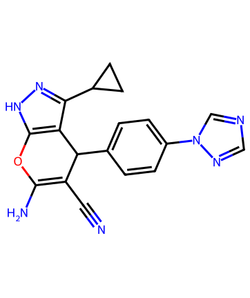 N#CC1=C(N)Oc2[nH]nc(C3CC3)c2C1c1ccc(-n2cncn2)cc1